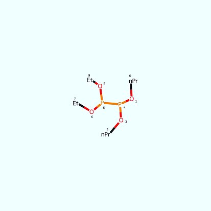 CCCOP(OCCC)P(OCC)OCC